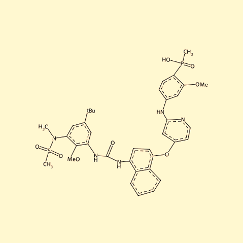 COc1cc(Nc2cc(Oc3ccc(NC(=O)Nc4cc(C(C)(C)C)cc(N(C)S(C)(=O)=O)c4OC)c4ccccc34)ccn2)ccc1P(C)(=O)O